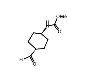 CCC(=O)[C@H]1CC[C@@H](NC(=O)OC)CC1